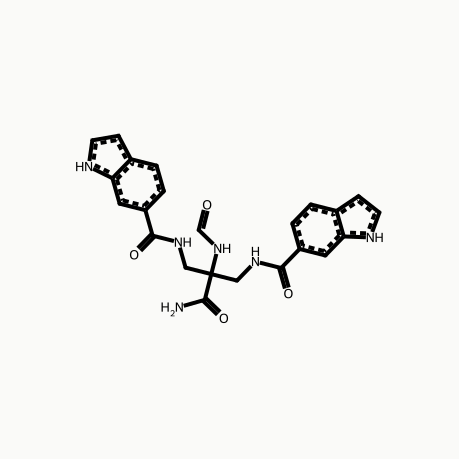 NC(=O)C(CNC(=O)c1ccc2cc[nH]c2c1)(CNC(=O)c1ccc2cc[nH]c2c1)NC=O